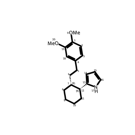 COc1ccc(CC[C@H]2CCCC[C@H]2c2ccc[nH]2)cc1OC